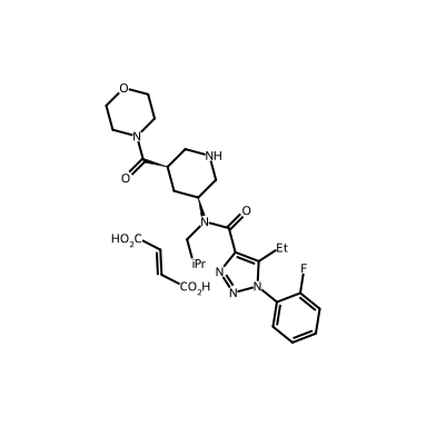 CCc1c(C(=O)N(CC(C)C)[C@@H]2CNC[C@H](C(=O)N3CCOCC3)C2)nnn1-c1ccccc1F.O=C(O)C=CC(=O)O